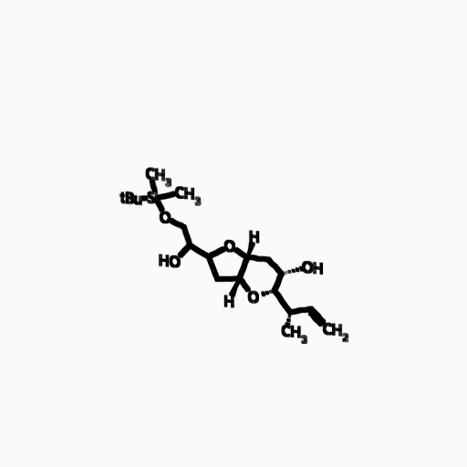 C=C[C@H](C)[C@@H]1O[C@@H]2CC(C(O)CO[Si](C)(C)C(C)(C)C)O[C@@H]2C[C@@H]1O